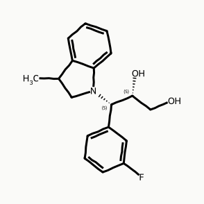 CC1CN([C@@H](c2cccc(F)c2)[C@H](O)CO)c2ccccc21